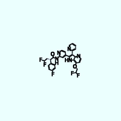 O=C(Nc1cc(-c2[nH]c3c(OCC(F)F)ccnc3c2-c2ccccn2)ccn1)[C@@H](CC(F)F)c1ccc(F)cc1